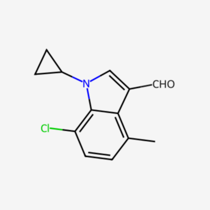 Cc1ccc(Cl)c2c1c(C=O)cn2C1CC1